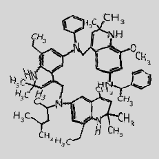 CCc1cc(N(CC2=CC(C)(C)Nc3c(CC)cc(N(CC4=CC(C)(C)Nc5c(OC)cc(NC(C)c6ccccc6)cc54)c4ccccc4)cc32)C(C)CC(C)C)cc2c1NC(C)(C)C=C2C